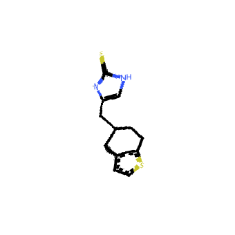 S=C1[N]C(CC2CCc3sccc3C2)=CN1